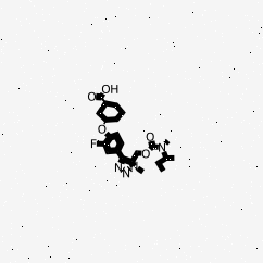 CCC(C)N(C)C(=O)OCc1c(-c2ccc(O[C@H]3CCC[C@H](C(=O)O)C3)c(F)c2)nnn1C